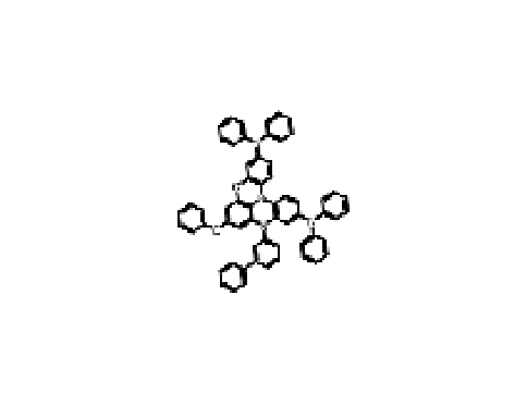 c1ccc(Oc2cc3c4c(c2)N(c2cccc(-c5ccccc5)c2)c2cc(N(c5ccccc5)c5ccccc5)ccc2B4c2ccc(N(c4ccccc4)c4ccccc4)cc2O3)cc1